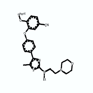 CCCCCOc1ccc(C#N)cc1Oc1ccc(-c2nc(N(CC)CCN3CCOCC3)sc2C)cc1